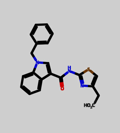 O=C(O)Cc1csc(NC(=O)c2cn(Cc3ccccc3)c3ccccc23)n1